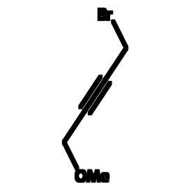 COCC#CCBr